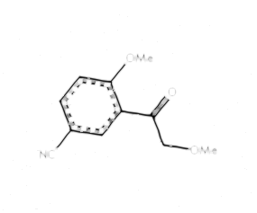 COCC(=O)c1cc(C#N)ccc1OC